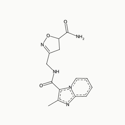 Cc1nc2ccccn2c1C(=O)NCC1=NOC(C(N)=O)C1